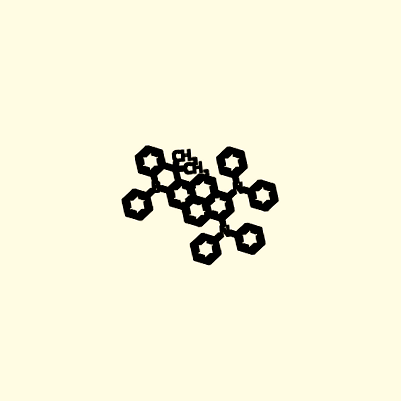 CC1(C)c2ccccc2B(c2ccccc2)c2cc3ccc4c(N(c5ccccc5)c5ccccc5)cc(N(c5ccccc5)c5ccccc5)c5ccc(c21)c3c45